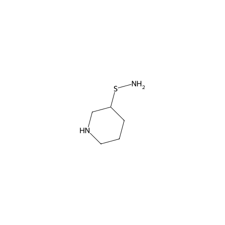 NSC1CCCNC1